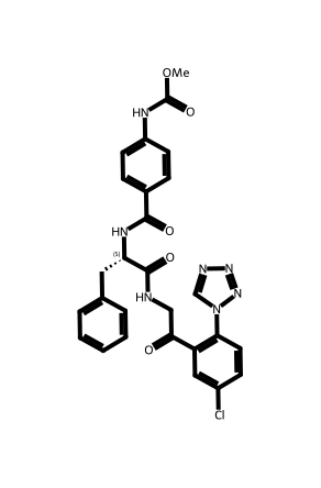 COC(=O)Nc1ccc(C(=O)N[C@@H](Cc2ccccc2)C(=O)NCC(=O)c2cc(Cl)ccc2-n2cnnn2)cc1